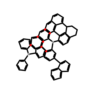 c1ccc(-c2ccc(-c3cccc4ccccc34)cc2N(c2ccccc2-c2cccc3cccc(C4CCCCC4)c23)c2ccccc2-c2cccc3c2c2ccccc2n3-c2ccccc2)cc1